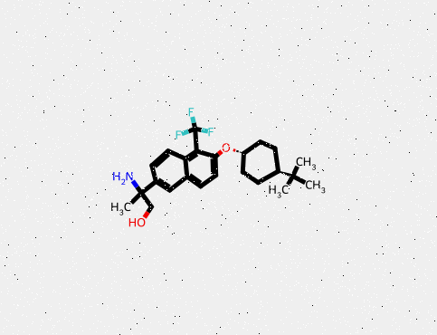 CC(N)(CO)c1ccc2c(C(F)(F)F)c(O[C@H]3CC[C@H](C(C)(C)C)CC3)ccc2c1